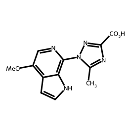 COc1cnc(-n2nc(C(=O)O)nc2C)c2[nH]ccc12